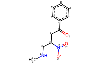 CNCC(CC(=O)c1ccccc1)[N+](=O)[O-]